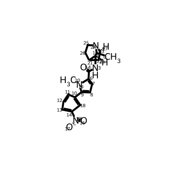 C[C@H]1[C@H](NC(=O)c2ccc(-c3cccc([N+](=O)[O-])c3)n2C)C2CCN1CC2